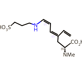 C=C/C(=C\C=C/NCCCS(=O)(=O)O)C[C@H](NC)C(=O)O